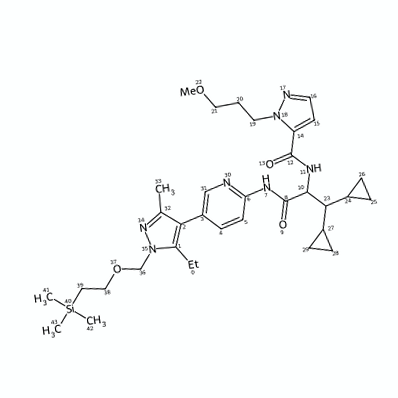 CCc1c(-c2ccc(NC(=O)C(NC(=O)c3ccnn3CCCOC)C(C3CC3)C3CC3)nc2)c(C)nn1COCC[Si](C)(C)C